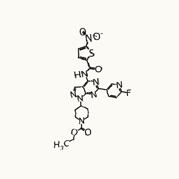 CCOC(=O)N1CCC(n2ncc3c(NC(=O)c4ccc([N+](=O)[O-])s4)nc(-c4ccc(F)nc4)nc32)CC1